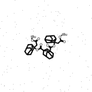 CC(C)(C)OC(=O)CC1(OC(=O)C23CC4CC(C2)CC(C(=O)OC2(CC(=O)OC(C)(C)C)C5CC6CC(C5)CC2C6)(C4)C3)C2CC3CC(C2)CC1C3